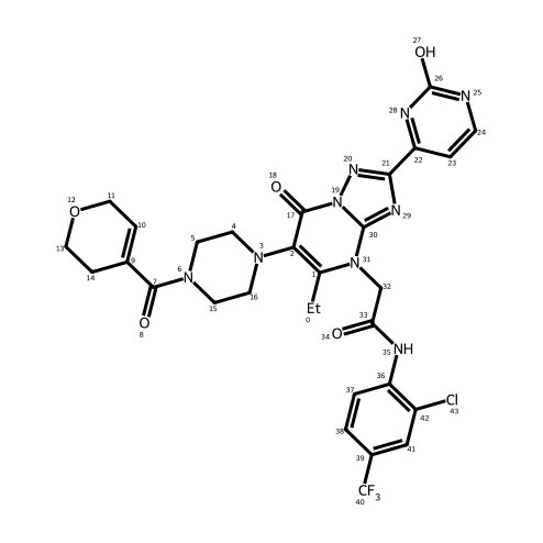 CCc1c(N2CCN(C(=O)C3=CCOCC3)CC2)c(=O)n2nc(-c3ccnc(O)n3)nc2n1CC(=O)Nc1ccc(C(F)(F)F)cc1Cl